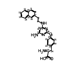 Nc1nc(NCCc2ccc3ccccc3c2)nc(Oc2ccc(C[C@H](N)C(=O)O)cc2)n1